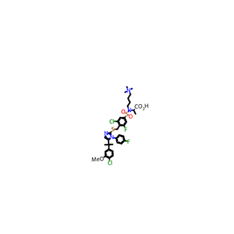 COc1cc(C(C)(C)c2cnc(SCc3c(F)cc(S(=O)(=O)N(CCCC[N+](C)(C)C)[C@H](C)C(=O)O)cc3Cl)n2-c2ccc(F)cc2)ccc1Cl